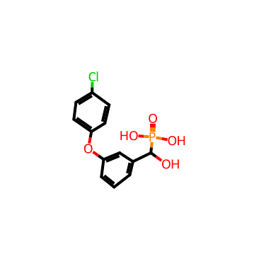 O=P(O)(O)C(O)c1cccc(Oc2ccc(Cl)cc2)c1